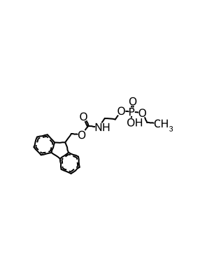 CCOP(=O)(O)OCCNC(=O)OCC1c2ccccc2-c2ccccc21